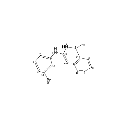 CC(NC(=S)Nc1cccc(Br)c1)c1ccccc1